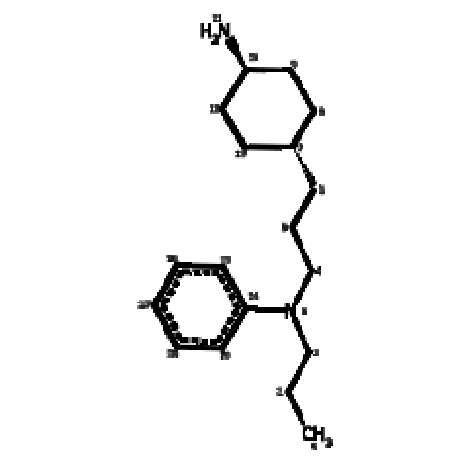 CCCN(CCC[C@H]1CC[C@H](N)CC1)c1ccccc1